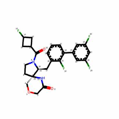 O=C1COC[C@@]2(CCN(C(=O)C3CC(F)C3)[C@H]2Cc2cccc(-c3cc(F)cc(F)c3)c2F)N1